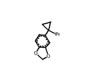 CC(C)C1(c2ccc3c(c2)OCO3)CC1